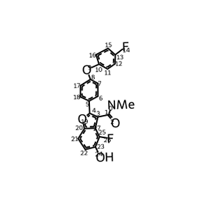 CNC(=O)c1c(-c2ccc(Oc3ccc(F)cc3)cc2)oc2ccc(O)c(F)c12